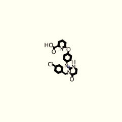 O=C(O)c1cccc(Oc2ccc(/N=c3\[nH]ccc(=O)n3Cc3ccc(Cl)cc3)cc2)n1